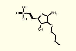 B[C@@H]1O[C@H](/C=C/P(=O)(O)O)[C@H](O)C1OCCCC